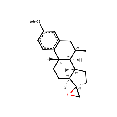 COc1ccc2c(c1)C[C@@H](C)[C@@H]1[C@@H]2CC[C@@]2(C)[C@@H]1CC[C@@]21CO1